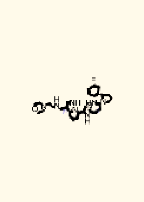 N=C/C(=C\NCCN1CCOCC1)c1cccc(-c2cnc(/C=C\C(=N)N3CCC[C@@H]3c3cccc(F)c3)[nH]2)n1